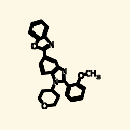 COc1ccccc1-c1nc2cc(-c3nc4ccccc4o3)ccc2n1C1CCOCC1